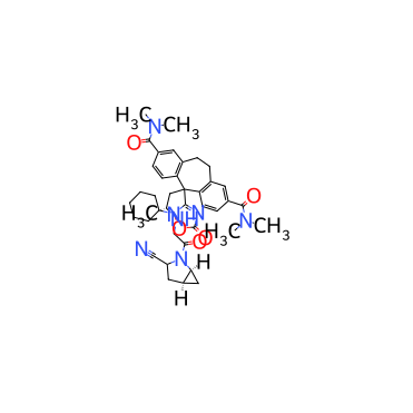 C[C@H](CC1(c2nc(=O)on2C2CCCCC2)c2ccc(C(=O)N(C)C)cc2CCc2cc(C(=O)N(C)C)ccc21)NCC(=O)N1C(C#N)C[C@@H]2C[C@@H]21